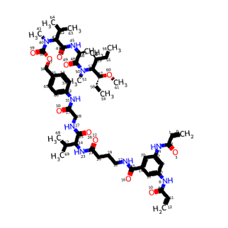 C=CC(=O)Nc1cc(NC(=O)C=C)cc(C(=O)NCCCC(=O)NC(C(=O)NCC(=O)Nc2ccc(COC(=O)N(C)C(C(=O)N[C@@H](C)C(=O)N(C)C([C@H](C)CC)[C@@H](CC)OC)C(C)C)cc2)C(C)C)c1